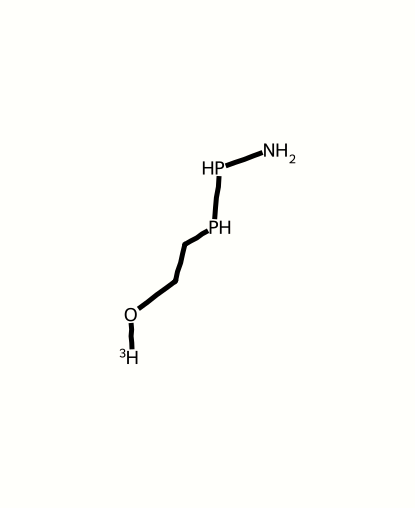 [3H]OCCPPN